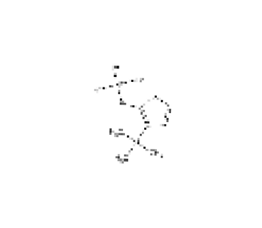 CC(C)[N+]([V][C]1=C([Si](C)(C)C)C=CC1)(C(C)C)C(C)C